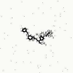 CCC(CCc1cc2cc(OCc3ccccc3)ccc2o1)c1ccc(OCC(C)(C)C(C)=O)c(C)c1